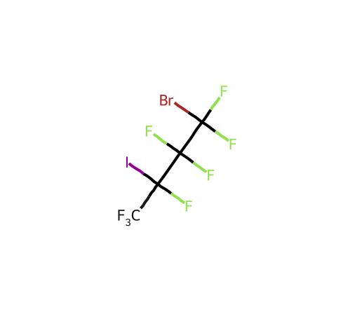 FC(F)(F)C(F)(I)C(F)(F)C(F)(F)Br